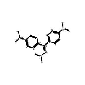 CN(C)N=C(c1ccc(N(C)C)cc1)c1ccc(N(C)C)cc1